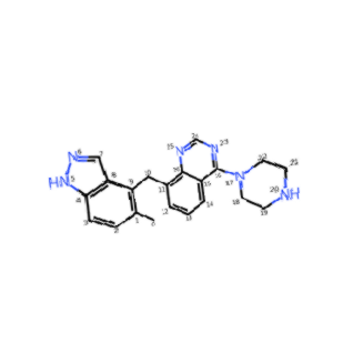 Cc1ccc2[nH]ncc2c1Cc1cccc2c(N3CCNCC3)ncnc12